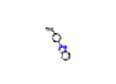 O=Cc1ccc(-n2cc3ccccc3n2)cc1